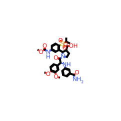 COC(=O)Nc1ccc(S(=O)(=O)C(C)C)c(C2C(C(=O)O)CCN2C(=O)[C@@H](Nc2cccc(C(N)=O)c2)c2ccc(OC)c(OC)c2)c1